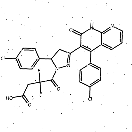 O=C(O)CC(F)(F)C(=O)N1N=C(c2c(-c3ccc(Cl)cc3)c3cccnc3[nH]c2=O)CC1c1ccc(Cl)cc1